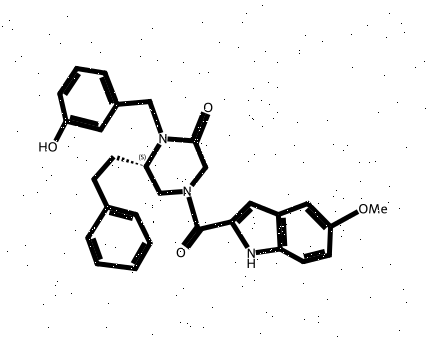 COc1ccc2[nH]c(C(=O)N3CC(=O)N(Cc4cccc(O)c4)[C@@H](CCc4ccccc4)C3)cc2c1